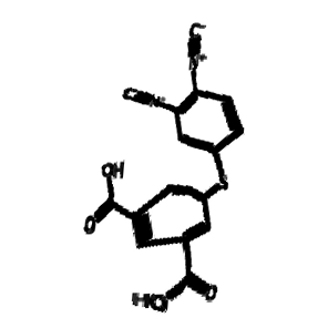 [C-]#[N+]c1ccc(Sc2cc(C(=O)O)cc(C(=O)O)c2)cc1[N+]#[C-]